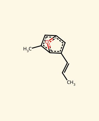 CC=Cc1cc2cc(C)c1o2